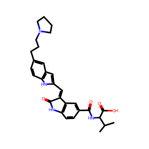 CC(C)C(NC(=O)c1ccc2c(c1)C(=Cc1cc3cc(CCCN4CCCC4)ccc3[nH]1)C(=O)N2)C(=O)O